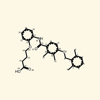 Cc1cccc(C)c1COc1ccc(C(=O)Nc2ccccc2OCCCC(=O)O)c(C)c1C